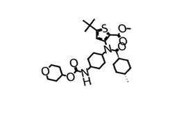 COC(=O)c1sc(C(C)(C)C)cc1N(C(=O)[C@H]1CC[C@H](C)CC1)C1CCC(NC(=O)OC2CCOCC2)CC1